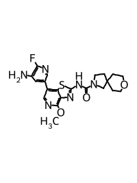 COc1ncc(-c2cnc(F)c(N)c2)c2sc(NC(=O)N3CCC4(CCOCC4)C3)nc12